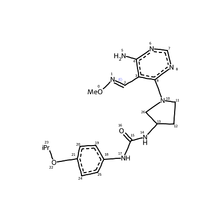 CO/N=C/c1c(N)ncnc1N1CCC(NC(=O)Nc2ccc(OC(C)C)cc2)C1